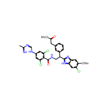 COC(=O)Cc1cccc(C(CNC(=O)c2c(Cl)cc(N/C=N\C(C)=N)cc2Cl)c2nc3cc(OC)c(Cl)cc3[nH]2)c1